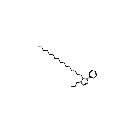 CCCCCCCCCCCCCCCCC1N(CCC)C=CN1c1ccccc1